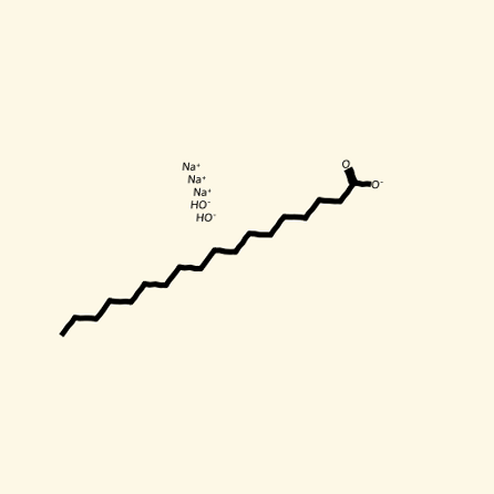 CCCCCCCCCCCCCCCCCC(=O)[O-].[Na+].[Na+].[Na+].[OH-].[OH-]